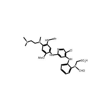 COc1cc(N(C)CCN(C)C)c(NC(C)C)cc1Nc1cc(Nc2ccccc2N(C=O)CS(=O)(=O)O)c(Cl)cn1